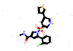 CNC(=O)c1cc(-c2ccccc2F)n(S(=O)(=O)c2cncc(-c3ccsc3)c2)c1